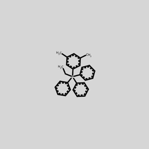 CCP(c1ccccc1)(c1ccccc1)(c1ccccc1)c1cc(C)cc(C)c1